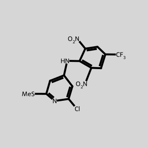 CSc1cc(Nc2c([N+](=O)[O-])cc(C(F)(F)F)cc2[N+](=O)[O-])cc(Cl)n1